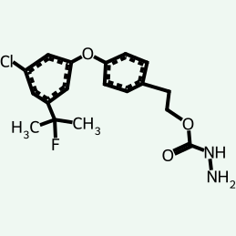 CC(C)(F)c1cc(Cl)cc(Oc2ccc(CCOC(=O)NN)cc2)c1